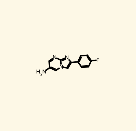 Nc1cnc2nc(-c3ccc(F)cc3)cn2c1